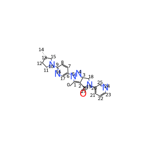 Cc1c2c(nn1-c1ccc(N3CC[C@H](C)C3)nc1)CN(c1cccnc1)C2=O